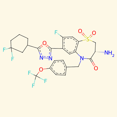 N[C@H]1CS(=O)(=O)c2cc(F)c(-c3nnc(C4CCCC(F)(F)C4)o3)cc2N(Cc2ccc(OC(F)(F)F)cc2)C1=O